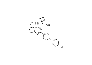 [O-][S+]1CCc2nc(N3CCC(c4ccc(Cl)cc4)CC3)nc(NC3(CO)CCC3)c21